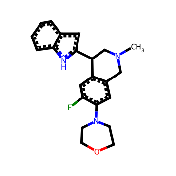 CN1Cc2cc(N3CCOCC3)c(F)cc2C(c2cc3ccccc3[nH]2)C1